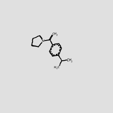 C=C(c1ccc(C(C)C)cc1)N1CCCC1